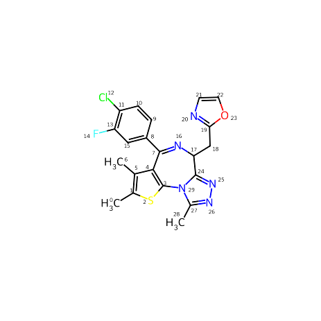 Cc1sc2c(c1C)C(c1ccc(Cl)c(F)c1)=NC(Cc1ncco1)c1nnc(C)n1-2